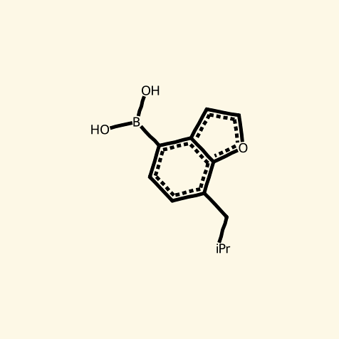 CC(C)Cc1ccc(B(O)O)c2ccoc12